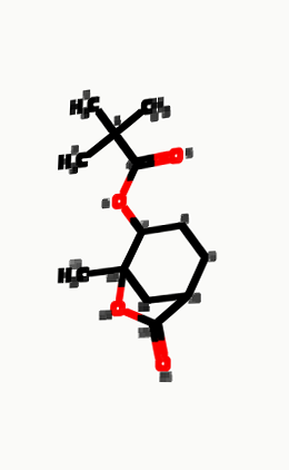 CC(C)(C)C(=O)OC1CCC2CC1(C)OC2=O